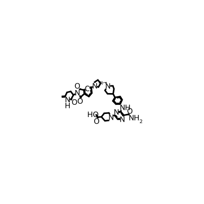 C=C1CCC(N2C(=O)c3ccc(N4CC[C@H](CN5CCC(c6ccc(Nc7nc(N8CCC(C(=O)O)CC8)cnc7C(N)=O)cc6)CC5)C4)cc3C2=O)C(=O)N1